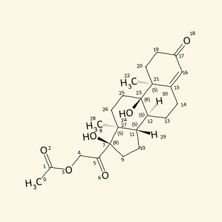 CC(=O)OCC(=O)[C@@]1(O)CC[C@H]2[C@@H]3CCC4=CC(=O)CC[C@]4(C)[C@@]3(O)CC[C@@]21C